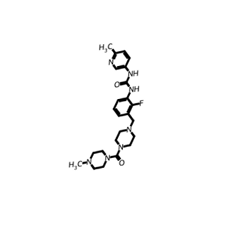 Cc1ccc(NC(=O)Nc2cccc(CN3CCN(C(=O)N4CCN(C)CC4)CC3)c2F)cn1